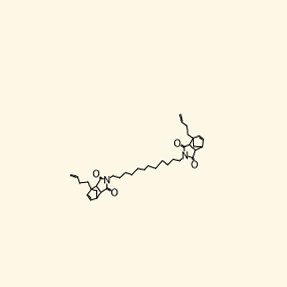 C=CCCC12C=CC(C1)C1C(=O)N(CCCCCCCCCCCCN3C(=O)C4C5C=CC(CCC=C)(C5)C4C3=O)C(=O)C12